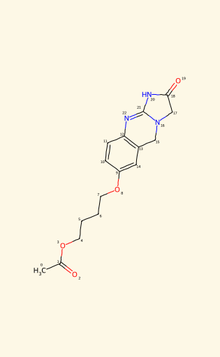 CC(=O)OCCCCOc1ccc2c(c1)CN1CC(=O)NC1=N2